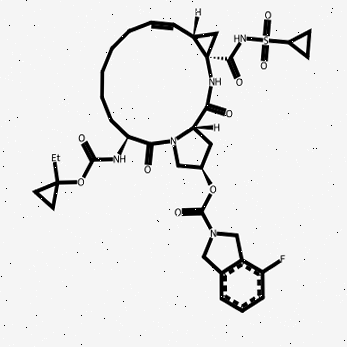 CCC1(OC(=O)N[C@H]2CCCCC/C=C\[C@@H]3C[C@@]3(C(=O)NS(=O)(=O)C3CC3)NC(=O)[C@@H]3C[C@@H](OC(=O)N4Cc5cccc(F)c5C4)CN3C2=O)CC1